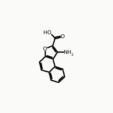 Nc1c(C(=O)O)oc2ccc3ccccc3c12